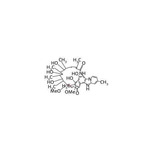 COc1c(C)c(O)c2c(O)c3c4c(c2c1C(=O)C/C=C/C(OC)C(C)C(O)C(C)C(O)C(C)C(O)C(C)/C=C/C=C(/C)C(=O)N3)NC1C=C(C)C=CN41